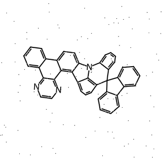 c1ccc2c(c1)-c1ccccc1C21c2ccccc2-n2c3ccc4c5ccccc5c5nccnc5c4c3c3cccc1c32